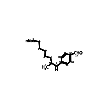 CCCCCCCCCCCCCCC(C)Nc1ccc([C]=O)cc1